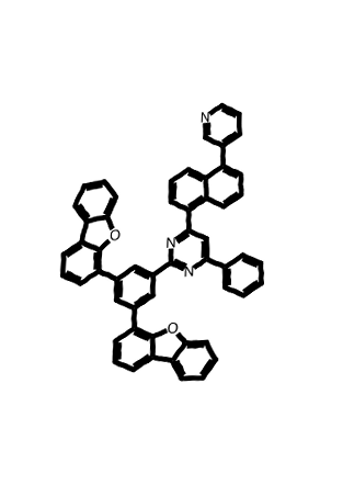 c1ccc(-c2cc(-c3cccc4c(-c5cccnc5)cccc34)nc(-c3cc(-c4cccc5c4oc4ccccc45)cc(-c4cccc5c4oc4ccccc45)c3)n2)cc1